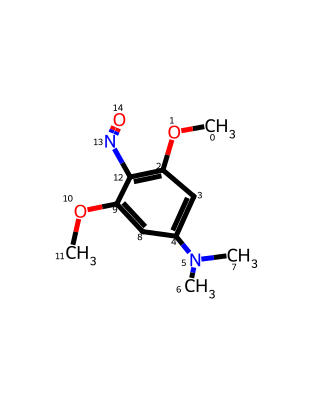 COc1cc(N(C)C)cc(OC)c1N=O